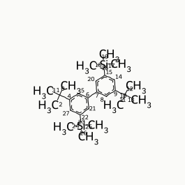 CC(C)(C)c1cc(-c2cc(C(C)(C)C)cc([Si](C)(C)C)c2)cc([Si](C)(C)C)c1